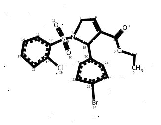 CCOC(=O)C1=CCN(S(=O)(=O)c2ccccc2Cl)C1c1ccc(Br)cc1